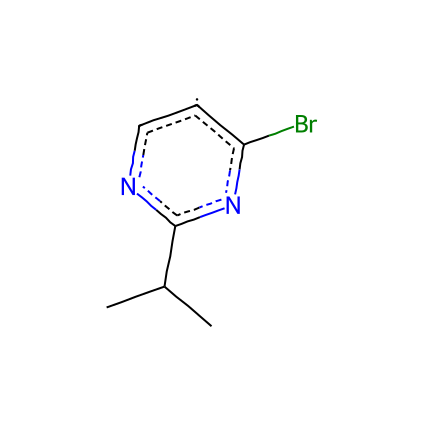 CC(C)c1nc[c]c(Br)n1